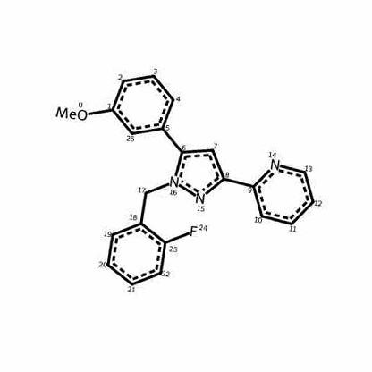 COc1cccc(-c2cc(-c3ccccn3)nn2Cc2ccccc2F)c1